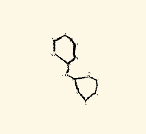 C1CCC(OC2CCCCS2)SC1